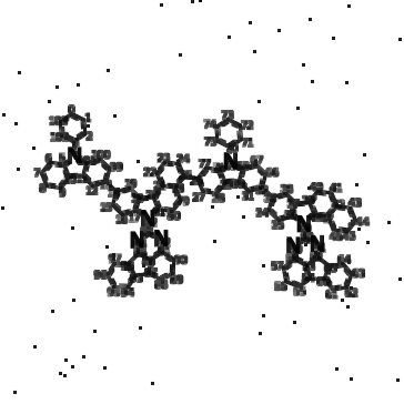 c1ccc(-n2c3ccccc3c3cc(-c4ccc5c(c4)c4c6cccc(-c7ccc8c9cc(-c%10ccc%11c(c%10)c%10ccc%12ccccc%12c%10n%11-c%10nc%11c%12c(cccc%12n%10)-c%10ccccc%10-%11)ccc9n(-c9ccccc9)c8c7)c6ccc4n5-c4nc5c6c(cccc6n4)-c4ccccc4-5)ccc32)cc1